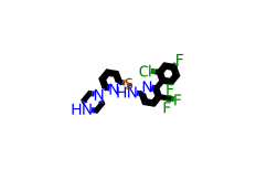 Fc1ccc(-c2nc(NSc3cccc(N4CCNCC4)n3)ccc2C(F)(F)F)c(Cl)c1